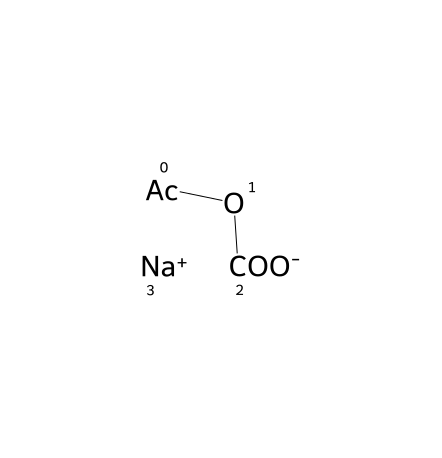 CC(=O)OC(=O)[O-].[Na+]